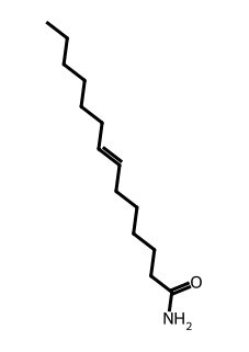 CCCCCCC=CCCCCCC(N)=O